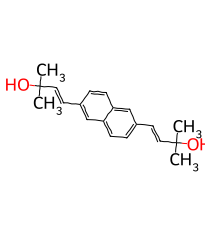 CC(C)(O)/C=C/c1ccc2cc(/C=C/C(C)(C)O)ccc2c1